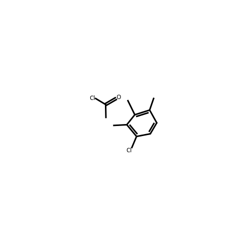 CC(=O)Cl.Cc1ccc(Cl)c(C)c1C